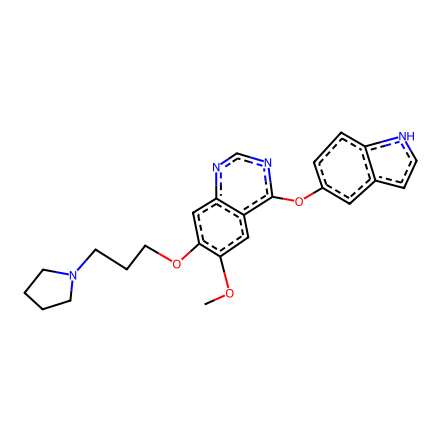 COc1cc2c(Oc3ccc4[nH]ccc4c3)ncnc2cc1OCCCN1CCCC1